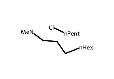 CCCCCCCCCNC.CCCCCCl